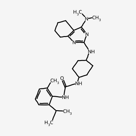 Cc1cccc(C(C)C)c1NC(=O)NC1CCC(Nc2nc3c(c(N(C)C)n2)CCCC3)CC1